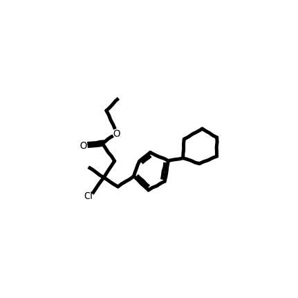 CCOC(=O)CC(C)(Cl)Cc1ccc(C2CCCCC2)cc1